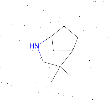 CC1(C)CNC2CCC1C2